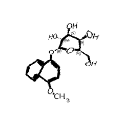 COc1ccc(O[C@H]2O[C@H](CO)[C@H](O)[C@H](O)[C@H]2O)c2ccccc12